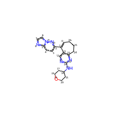 C1=C(c2ccc3nccn3n2)c2cnc(NC3CCOCC3)nc2CCC1